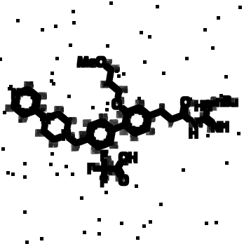 CCCCNC(=N)NC(=O)CCc1ccc(-c2ccc(CN3CCN(c4ccncc4)CC3)cc2)c(OCCCOC)c1.O=C(O)C(F)(F)F